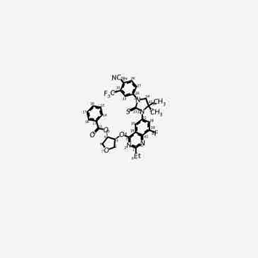 CCc1nc(O[C@H]2COC[C@@H]2OC(=O)c2ccccc2)c2cc(N3C(=S)N(c4ccc(C#N)c(C(F)(F)F)c4)CC3(C)C)cc(F)c2n1